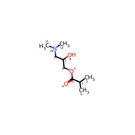 CC(C)C(=O)OCC(O)CN(C)C